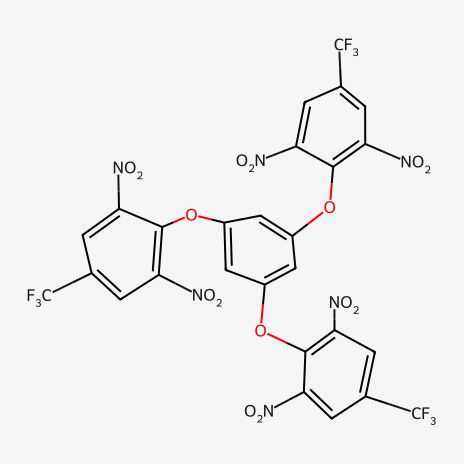 O=[N+]([O-])c1cc(C(F)(F)F)cc([N+](=O)[O-])c1Oc1cc(Oc2c([N+](=O)[O-])cc(C(F)(F)F)cc2[N+](=O)[O-])cc(Oc2c([N+](=O)[O-])cc(C(F)(F)F)cc2[N+](=O)[O-])c1